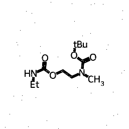 CCNC(=O)OCCN(C)C(=O)OC(C)(C)C